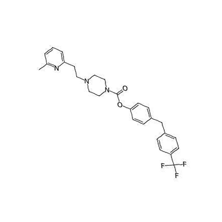 Cc1cccc(CCN2CCN(C(=O)Oc3ccc(Cc4ccc(C(F)(F)F)cc4)cc3)CC2)n1